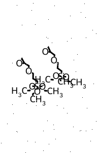 CCO[Si](C)(CCCOCC1CO1)OCC.CCO[Si](CCCOCC1CO1)(OCC)OCC